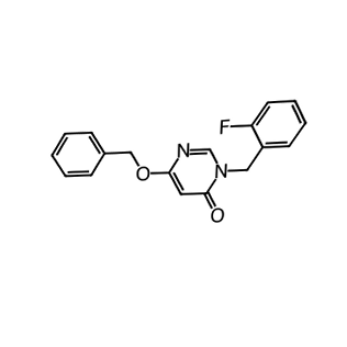 O=c1cc(OCc2ccccc2)ncn1Cc1ccccc1F